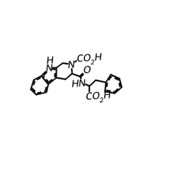 O=C(O)C(Cc1ccccc1)NC(=O)C1Cc2c([nH]c3ccccc23)CN1C(=O)O